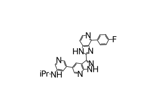 CC(C)Nc1cncc(-c2cnc3[nH]nc(-c4nc5c(-c6ccc(F)cc6)nccc5[nH]4)c3c2)c1